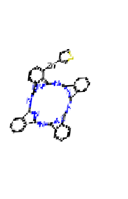 c1ccc2c(c1)-c1nc-2nc2[nH]c(nc3nc(nc4[nH]c(n1)c1ccccc41)-c1ccccc1-3)c1[c]([Zn][c]3ccsc3)cccc21